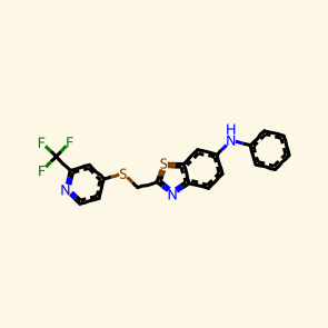 FC(F)(F)c1cc(SCc2nc3ccc(Nc4ccccc4)cc3s2)ccn1